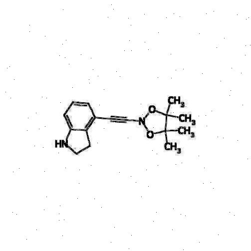 CC1(C)ON(C#Cc2cccc3c2CCN3)OC1(C)C